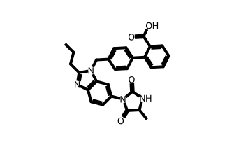 CCCc1nc2ccc(N3C(=O)NC(C)C3=O)cc2n1Cc1ccc(-c2ccccc2C(=O)O)cc1